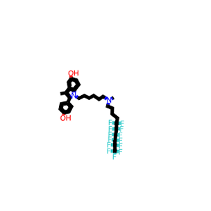 Cc1c(-c2ccc(O)cc2)n(CCCCCCN(C)CCCCC(F)(F)C(F)(F)C(F)(F)C(F)(F)C(F)(F)C(F)(F)F)c2ccc(O)cc12